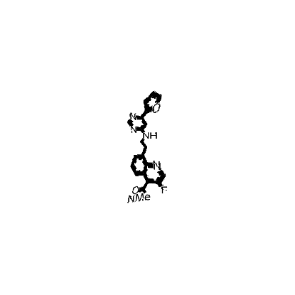 CNC(=O)c1c(F)cnc2c(CCNc3cc(-c4ccco4)ncn3)cccc12